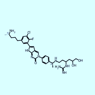 C[C@H](N)CCCc1cc(Cl)c(F)c(-c2cc3cn(-c4ccc([C@H](C)NCCC(CC(O)CO)NC(=N)N)cc4)c(=O)nc3[nH]2)c1